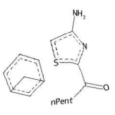 CCCCCC(=O)c1nc(N)cs1.c1cc2cc(c1)C2